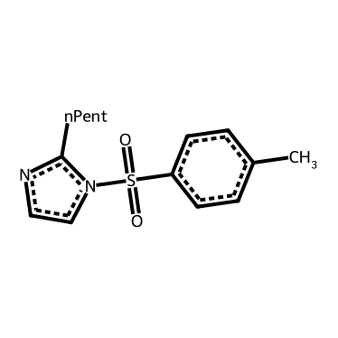 CCCCCc1nccn1S(=O)(=O)c1ccc(C)cc1